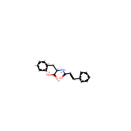 O=C(C=Cc1ccccc1)NC(Cc1[c]cccc1)C(=O)O